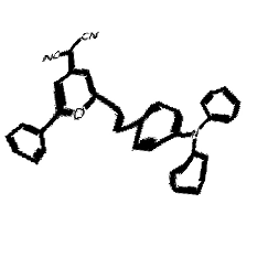 N#CC(C#N)=C1C=C(/C=C/c2ccc(N(c3ccccc3)c3ccccc3)cc2)OC(c2ccccc2)=C1